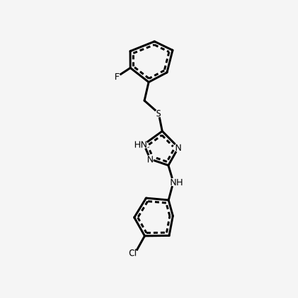 Fc1ccccc1CSc1nc(Nc2ccc(Cl)cc2)n[nH]1